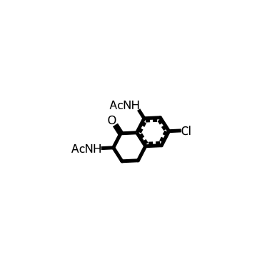 CC(=O)Nc1cc(Cl)cc2c1C(=O)C(NC(C)=O)CC2